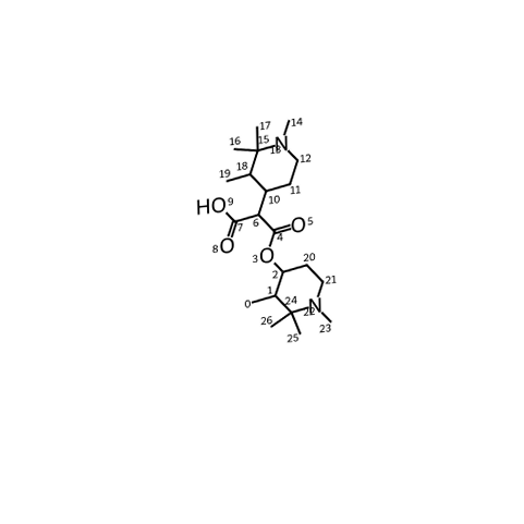 CC1C(OC(=O)C(C(=O)O)C2CCN(C)C(C)(C)C2C)CCN(C)C1(C)C